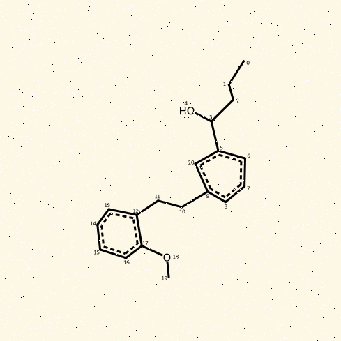 CCCC(O)c1cccc(CCc2ccccc2OC)c1